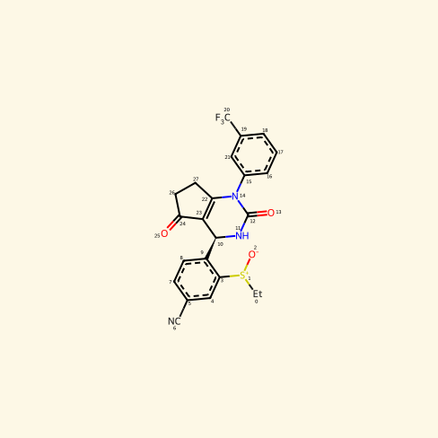 CC[S+]([O-])c1cc(C#N)ccc1[C@@H]1NC(=O)N(c2cccc(C(F)(F)F)c2)C2=C1C(=O)CC2